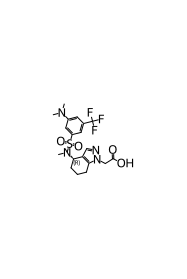 CN(C)c1cc(C(F)(F)F)cc(S(=O)(=O)N(C)[C@@H]2CCCc3c2cnn3CC(=O)O)c1